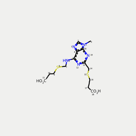 Cn1cnc2c(NCSCCC(=O)O)nc(CSCCC(=O)O)nc21